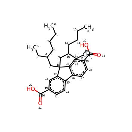 CCCCC(CC)CC1(CC(CC)CCCC)c2cc(C(=O)O)ccc2-c2ccc(C(=O)O)cc21